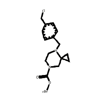 CCCCOC(=O)N1CCN(Cc2ccc(CCl)cc2)C2(CC2)C1